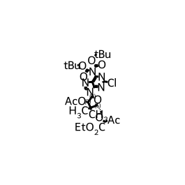 CCOC(=O)C(OC[C@H]1O[C@@H](n2cnc3c(N(C(=O)OC(C)(C)C)C(=O)OC(C)(C)C)nc(Cl)nc32)[C@H](OC(C)=O)C1(C)C)C(C)=O